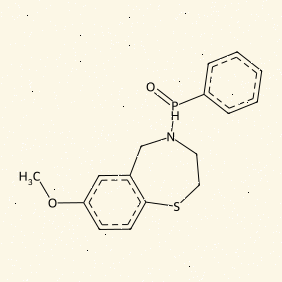 COc1ccc2c(c1)CN([PH](=O)c1ccccc1)CCS2